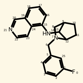 Fc1cccc(CN2CC3CCC2C3Nc2cccc3cnccc23)c1